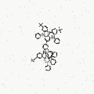 CC(C)(C)c1ccc2c(c1)N(c1ccccc1)c1cc(-c3ccc4c(c3)c3ccc(-c5ccccc5)cc3n4-c3ccc(C#N)cc3-c3nc(-c4ccccc4)nc(-c4ccccc4)n3)cc3c1B2c1ccc(C(C)(C)C)cc1N3c1ccccc1